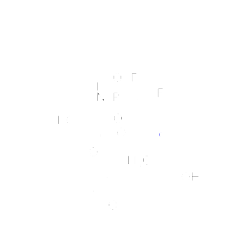 C/C(=C\CC(F)(F)P(=O)(N[C@@H](C)C(=O)O[C@@H]1CCOC1)Oc1ccccc1)CO